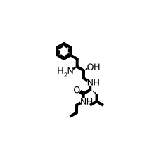 [CH2]CCNC(=O)[C@@H](CC(C)C)NC[C@@H](O)[C@@H](N)Cc1ccccc1